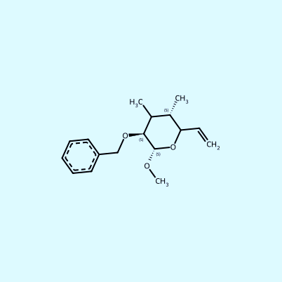 C=CC1O[C@H](OC)[C@@H](OCc2ccccc2)C(C)[C@@H]1C